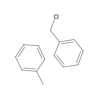 Cc1ccccc1.ClCc1ccccc1